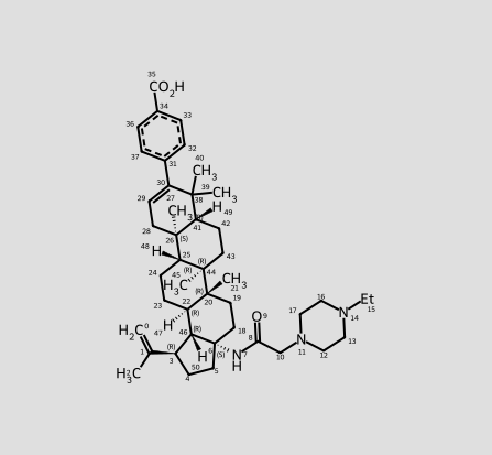 C=C(C)[C@@H]1CC[C@]2(NC(=O)CN3CCN(CC)CC3)CC[C@]3(C)[C@H](CC[C@@H]4[C@@]5(C)CC=C(c6ccc(C(=O)O)cc6)C(C)(C)[C@@H]5CC[C@]43C)[C@@H]12